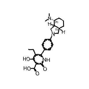 CCc1c(-c2ccc(N3C[C@H]4CCC[C@@H](N(C)C)[C@H]4C3)cc2)[nH]c(=O)c(C(=O)O)c1O